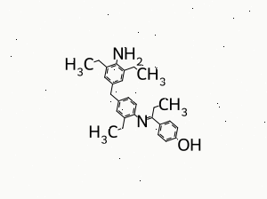 CC/C(=N\c1ccc(Cc2cc(CC)c(N)c(CC)c2)cc1CC)c1ccc(O)cc1